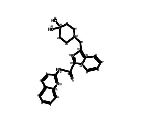 O=C(Nc1ccc2ccccc2n1)c1nc(CN2CCS(O)(O)CC2)c2ccccn12